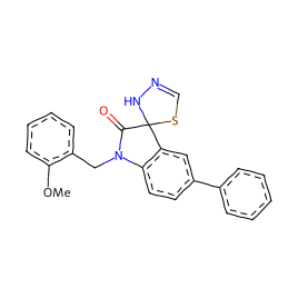 COc1ccccc1CN1C(=O)C2(NN=CS2)c2cc(-c3ccccc3)ccc21